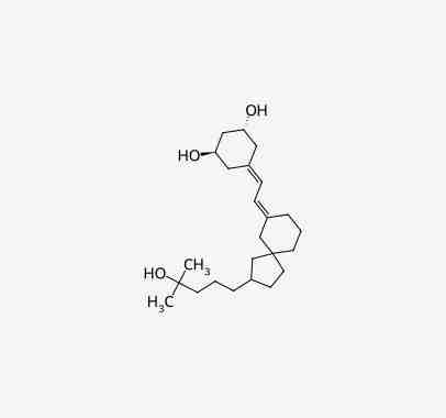 CC(C)(O)CCCC1CCC2(CCC/C(=C\C=C3C[C@@H](O)C[C@H](O)C3)C2)C1